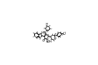 CC1(c2ccc(Cl)cc2)CN(c2nc(N[C@@H]3CCCNC3)c(-c3nc4ccccc4s3)c(=O)[nH]2)CCO1.Cl